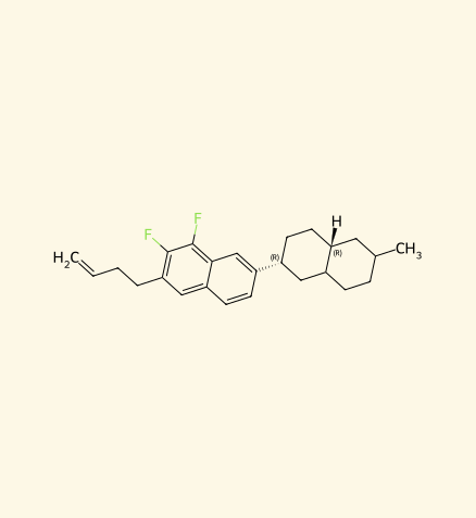 C=CCCc1cc2ccc([C@@H]3CC[C@@H]4CC(C)CCC4C3)cc2c(F)c1F